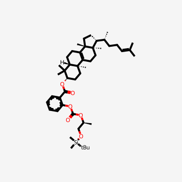 CC(C)=CCC[C@@H](C)[C@H]1CC[C@@]2(C)C3=C(CC[C@]12C)[C@@]1(C)CC[C@H](OC(=O)c2ccccc2OC(=O)O[C@@H](C)CO[Si](C)(C)C(C)(C)C)C(C)(C)[C@@H]1CC3